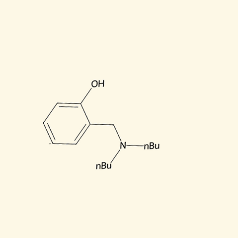 CCCCN(CCCC)Cc1c[c]ccc1O